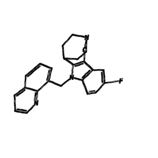 Fc1ccc2c(c1)c1c(n2Cc2cccc3cccnc23)C2CCN(CC2)C1